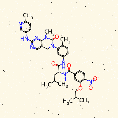 Cc1ccc(Nc2ncc3c(n2)N(C)C(=O)N(c2cc(NC(=O)C(CC(C)C)NC(=O)c4ccc([N+](=O)[O-])c(OCC(C)C)c4)ccc2C)C3)cn1